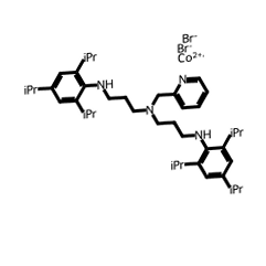 CC(C)c1cc(C(C)C)c(NCCCN(CCCNc2c(C(C)C)cc(C(C)C)cc2C(C)C)Cc2ccccn2)c(C(C)C)c1.[Br-].[Br-].[Co+2]